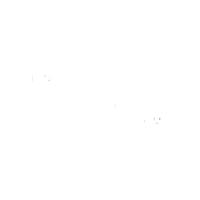 COC(C)OCCN